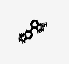 [c]1c(-c2cccc3[nH]nnc23)ccc2nnnn12